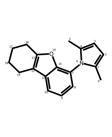 Cc1ccc(C)n1-c1cccc2c3c(oc12)CCCC3